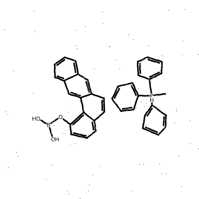 C[PH](c1ccccc1)(c1ccccc1)c1ccccc1.OB(O)Oc1cccc2ccc3cc4ccccc4cc3c12